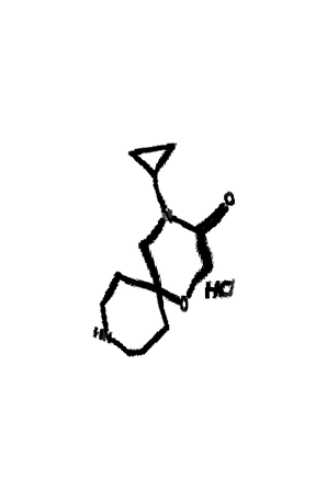 Cl.O=C1COC2(CCNCC2)CN1C1CC1